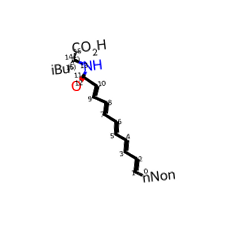 CCCCCCCCCC=CC=CC=CC=CC=CC(=O)N[C@H](C(=O)O)[C@@H](C)CC